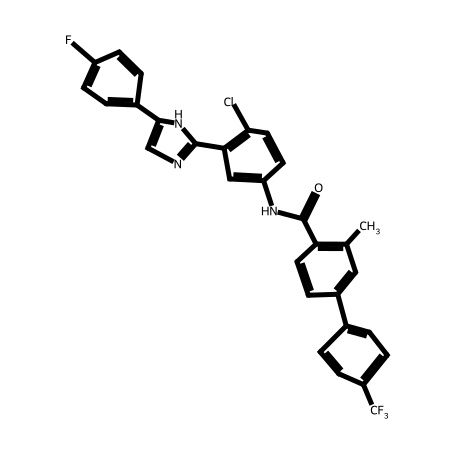 Cc1cc(-c2ccc(C(F)(F)F)cc2)ccc1C(=O)Nc1ccc(Cl)c(-c2ncc(-c3ccc(F)cc3)[nH]2)c1